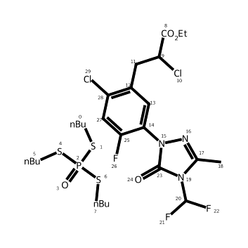 CCCCSP(=O)(SCCCC)SCCCC.CCOC(=O)C(Cl)Cc1cc(-n2nc(C)n(C(F)F)c2=O)c(F)cc1Cl